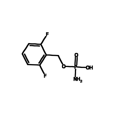 NP(=O)(O)OCc1c(F)cccc1F